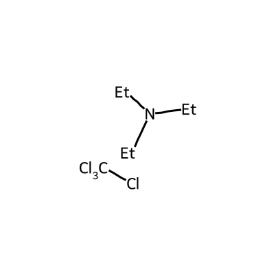 CCN(CC)CC.ClC(Cl)(Cl)Cl